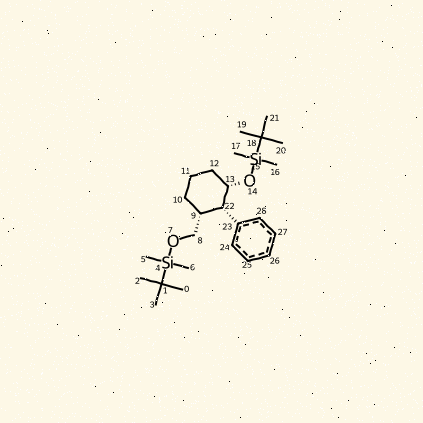 CC(C)(C)[Si](C)(C)OC[C@@H]1CCC[C@H](O[Si](C)(C)C(C)(C)C)[C@@H]1c1ccccc1